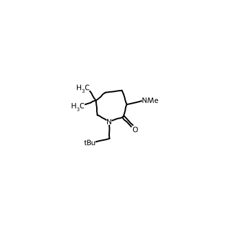 CNC1CCC(C)(C)CN(CC(C)(C)C)C1=O